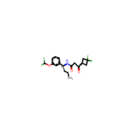 CCC[C@H](NC(=O)CC(=O)C1CC(F)(F)C1)c1cccc(OC(F)F)c1